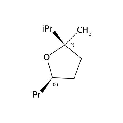 CC(C)[C@@H]1CC[C@](C)(C(C)C)O1